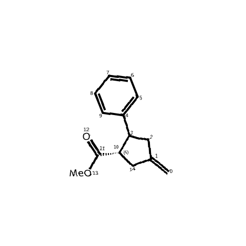 C=C1CC(c2ccccc2)[C@@H](C(=O)OC)C1